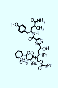 CCCC(=O)OCN(C(=O)[C@@H](NC(=O)[C@H]1CCCCN1C)C(C)CC)[C@H](C[C@@H](O)c1nc(C(=O)N[C@@H](Cc2ccc(O)cc2)C[C@H](C)C(N)=O)cs1)C(C)C